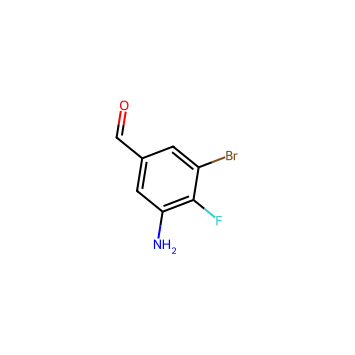 Nc1cc(C=O)cc(Br)c1F